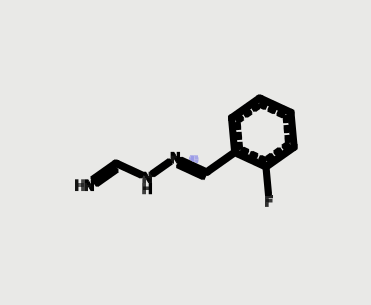 N=CN/N=C/c1ccccc1F